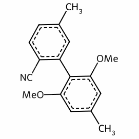 COc1cc(C)cc(OC)c1-c1cc(C)ccc1C#N